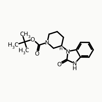 CC(C)(C)OC(=O)N1CCC[C@@H](n2c(=O)[nH]c3ccccc32)C1